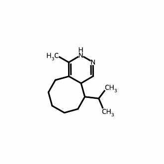 CC1=C2CCCCCC(C(C)C)C2C=NN1